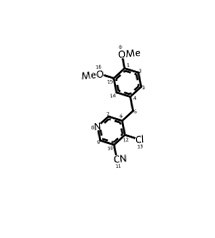 COc1ccc(Cc2cncc(C#N)c2Cl)cc1OC